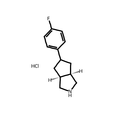 Cl.Fc1ccc(C2C[C@H]3CNC[C@H]3C2)cc1